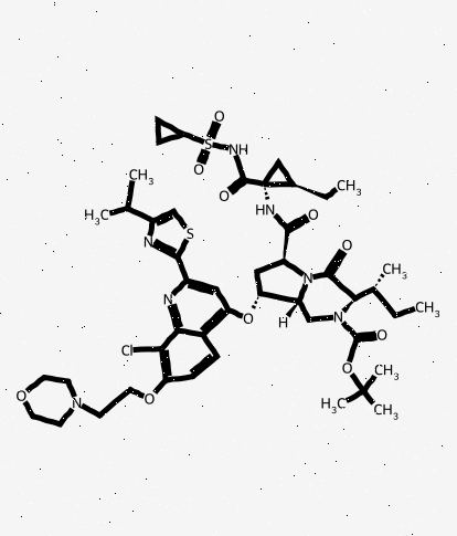 CC[C@@H]1C[C@]1(NC(=O)[C@@H]1C[C@@H](Oc2cc(-c3nc(C(C)C)cs3)nc3c(Cl)c(OCCN4CCOCC4)ccc23)[C@H]2CN(C(=O)OC(C)(C)C)[C@H]([C@H](C)CC)C(=O)N21)C(=O)NS(=O)(=O)C1CC1